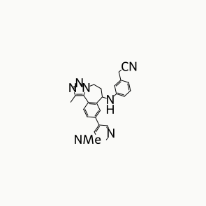 C/N=C\C(=C/NC)c1ccc2c(c1)C(Nc1cccc(CC#N)c1)CCn1nnc(C)c1-2